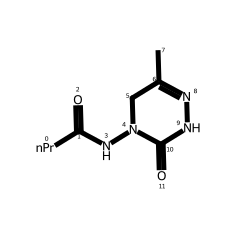 CCCC(=O)NN1CC(C)=NNC1=O